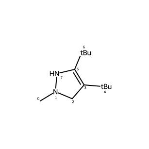 CN1CC(C(C)(C)C)=C(C(C)(C)C)N1